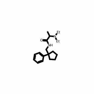 CCN(CC)C(C)C(=O)NCC1(c2ccccc2)CCCC1